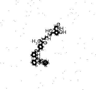 CN(CCCCNC[C@@H](O)c1ccc(O)c2[nH]c(=O)ccc12)C(=O)c1ccc(COc2cccc(C(NC(=O)O[C@H]3CN4CCC3CC4)c3ccccc3)c2)cc1